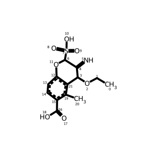 CCOC1C(=N)C(S(=O)(=O)O)Oc2ccc(C(=O)O)c(C)c21